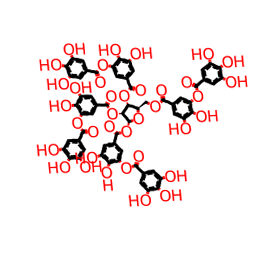 O=C(OC[C@H]1O[C@@H](OC(=O)c2cc(O)c(O)c(OC(=O)c3cc(O)c(O)c(O)c3)c2)[C@H](OC(=O)c2cc(O)c(O)c(OC(=O)c3cc(O)c(O)c(O)c3)c2)[C@@H]1OC(=O)c1cc(O)c(O)c(OC(=O)c2cc(O)c(O)c(O)c2)c1)c1cc(O)c(O)c(OC(=O)c2cc(O)c(O)c(O)c2)c1